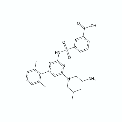 Cc1cccc(C)c1-c1cc(N(CCN)CC(C)C)nc(NS(=O)(=O)c2cccc(C(=O)O)c2)n1